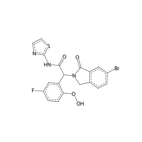 O=C(Nc1nccs1)C(c1cc(F)ccc1OO)N1Cc2ccc(Br)cc2C1=O